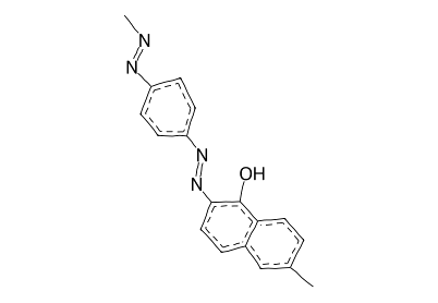 CN=Nc1ccc(N=Nc2ccc3cc(C)ccc3c2O)cc1